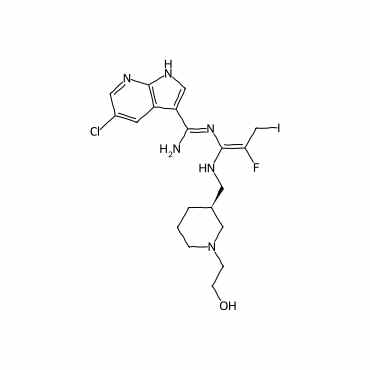 N/C(=N\C(NC[C@@H]1CCCN(CCO)C1)=C(\F)CI)c1c[nH]c2ncc(Cl)cc12